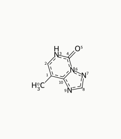 Cc1c[nH]c(=O)n2ncnc12